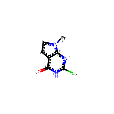 CC(C)n1ccc2c(=O)[nH]c(Cl)nc21